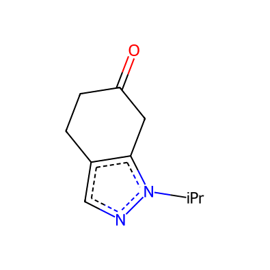 CC(C)n1ncc2c1CC(=O)CC2